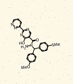 COc1ccc(C(c2ccc(SC)cc2)N(N)C(=O)c2cnc(-c3cccnn3)nc2O)cc1